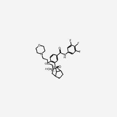 O=C(Nc1cc(F)c(F)c(F)c1)c1ccc(Cl)c(S(=O)(=O)[C@H]2C3CCC2C[C@](O)(COCCN2CCOCC2)C3)c1